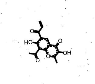 C=CC(=O)c1cc2c(=O)c(O)c(C)oc2c(C(C)=O)c1O